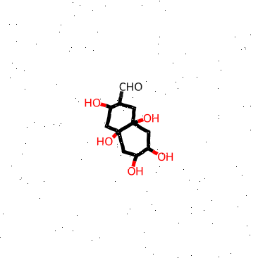 O=CC1CC2(O)CC(O)C(O)CC2(O)CC1O